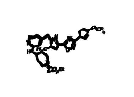 CCOC(=O)N1CCC(Nc2cc(Cn3nc(-c4nc(-c5ccc(OC(F)(F)F)cc5)no4)cc3C)ccn2)CC1